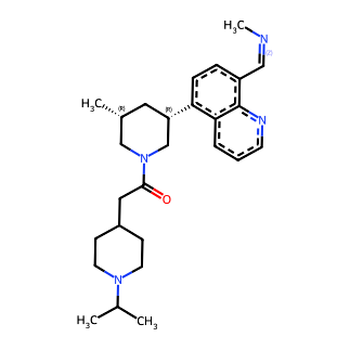 C/N=C\c1ccc([C@H]2C[C@@H](C)CN(C(=O)CC3CCN(C(C)C)CC3)C2)c2cccnc12